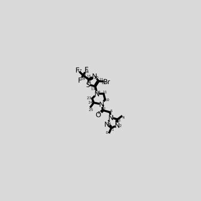 Cc1nc(C)n(CC(=O)N2CCN(c3sc(C(F)(F)F)nc3Br)CC2C)n1